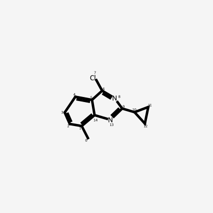 Cc1cccc2c(Cl)nc(C3CC3)nc12